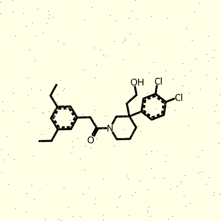 CCc1cc(CC)cc(CC(=O)N2CCCC(CCO)(c3ccc(Cl)c(Cl)c3)C2)c1